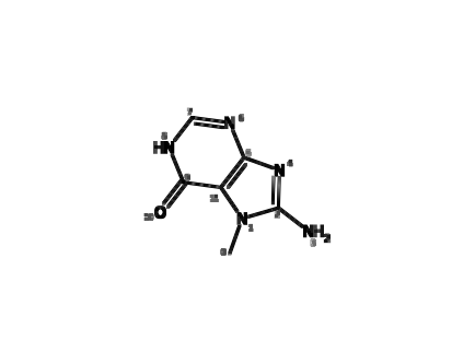 Cn1c(N)nc2nc[nH]c(=O)c21